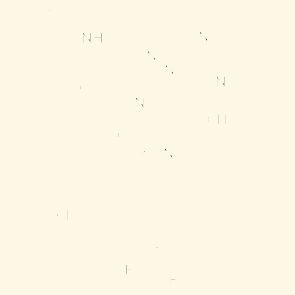 CC(NC(=O)c1cc(Cl)cc(C(F)(F)F)c1)c1nc(C(=O)NC2CC2)nn1-c1ncccn1